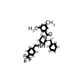 Cc1cc(C)cc(C(=O)N2CC[C@H](NCc3ccc(C(F)(F)F)cc3)C[C@@H]2Cc2ccccc2)c1